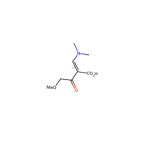 COCC(=O)/C(=C/N(C)C)C(=O)O